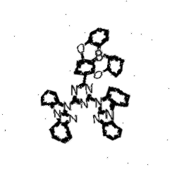 c1ccc2c(c1)Oc1ccc(-c3nc(-n4c5ccccc5n5c6ccccc6nc45)nc(-n4c5ccccc5n5c6ccccc6nc45)n3)c3c1B2c1ccccc1O3